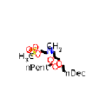 CCCCCCCCCCCCOCC(CN(C)CCOS(C)(=O)=O)OC(=O)CCCCC